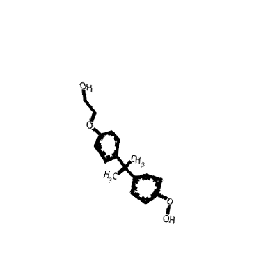 CC(C)(c1ccc(OO)cc1)c1ccc(OCCO)cc1